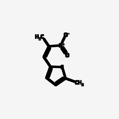 CC(=Cc1ccc(C)s1)[N+](=O)[O-]